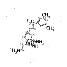 Cc1cc(C)cc(C(/C=C/c2ccc(N/C=C/N)c(C(=N)N)c2)C(F)(F)F)c1